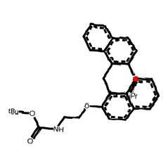 CC(C)Oc1ccc2ccccc2c1Cc1c(OCCNC(=O)OC(C)(C)C)ccc2ccccc12